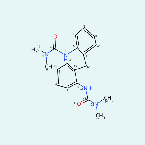 CN(C)C(=O)Nc1ccccc1Cc1ccccc1NC(=O)N(C)C